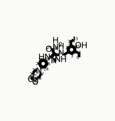 CCc1cc(CNc2[nH]nc(Nc3ccc(N4CCS(=O)(=O)CC4)cc3)c2C(N)=O)cc(CI)c1O